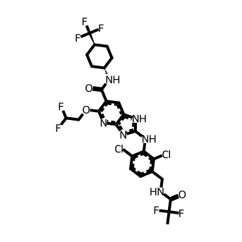 CC(F)(F)C(=O)NCc1ccc(Cl)c(Nc2nc3nc(OCC(F)F)c(C(=O)N[C@H]4CC[C@H](C(F)(F)F)CC4)cc3[nH]2)c1Cl